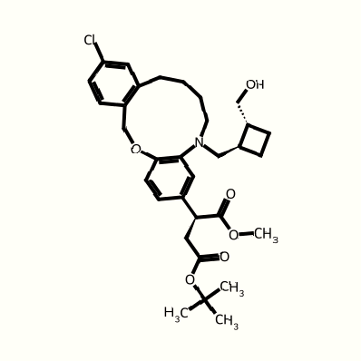 COC(=O)[C@@H](CC(=O)OC(C)(C)C)c1ccc2c(c1)N(C[C@@H]1CC[C@H]1CO)CCCCc1cc(Cl)ccc1CO2